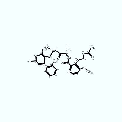 COc1ccnc(C(=O)N[C@@H](C)C(=O)O[C@@H](C)[C@H](Oc2ccccc2)c2ccc(F)cc2F)c1OCOC(C)=O